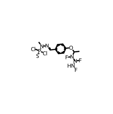 CC(Oc1ccc(C=NN(C)P(=S)(Cl)Cl)cc1)N(F)N(F)NF